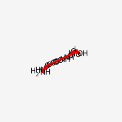 N=C(N)NCc1ccc(OCOCCCOCOOOCCOCNCCCNCCCOc2c(I)cc(Oc3c(I)cc(CC(=O)O)cc3I)cc2I)cc1